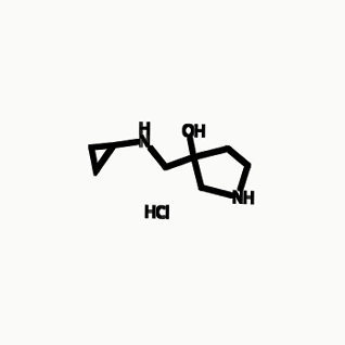 Cl.OC1(CNC2CC2)CCNC1